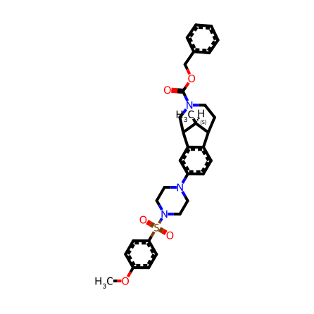 COc1ccc(S(=O)(=O)N2CCN(c3ccc4c(c3)C3CN(C(=O)OCc5ccccc5)CCC4[C@@H]3C)CC2)cc1